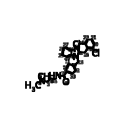 CN(C)CCCNC(=O)c1ccc(Cn2c(Cc3c(Cl)cccc3Cl)nc3ccccc32)cc1